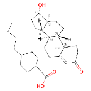 CCCCC1CCC(C(=O)O)CC1.C[C@]12CC[C@H]3[C@@H](CCC4=CC(=O)CC[C@@]43C)[C@@H]1CC[C@@H]2O